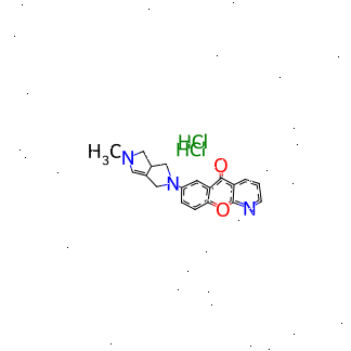 CN1C=C2CN(c3ccc4oc5ncccc5c(=O)c4c3)CC2C1.Cl.Cl